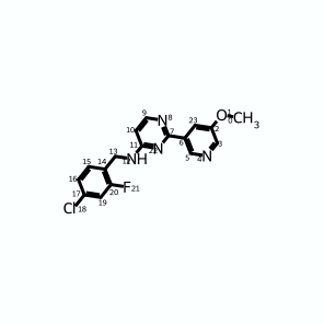 COc1cncc(-c2nccc(NCc3ccc(Cl)cc3F)n2)c1